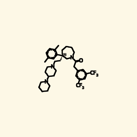 Cc1ccc(C)c([C@@]2(CCN3CCC(N4CCCCC4)CC3)CCCCN(C(=O)Cc3cc(C(F)(F)F)cc(C(F)(F)F)c3)C2)c1